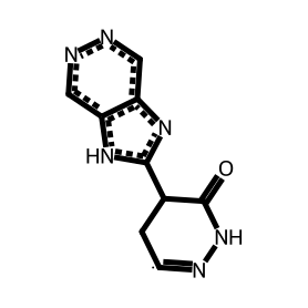 O=C1NN=[C]CC1c1nc2cnncc2[nH]1